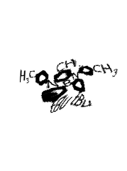 Cc1ccc(N2c3ccc(C(C)(C)C)cc3B3c4cc(C(C)(C)C)ccc4N(c4ccc(C)cc4)c4cc(C)cc2c43)cc1